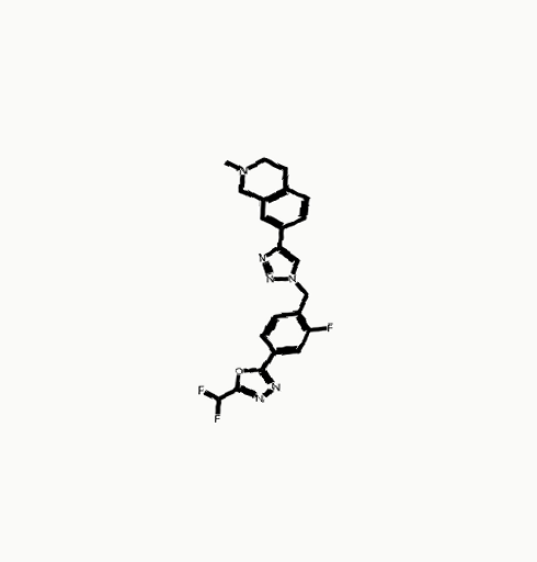 CN1CCc2ccc(-c3cn(Cc4ccc(-c5nnc(C(F)F)o5)cc4F)nn3)cc2C1